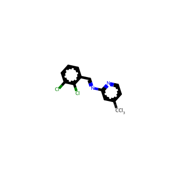 Clc1cccc(C=Nc2cc(C(Cl)(Cl)Cl)ccn2)c1Cl